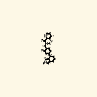 Cn1cc2cccc(-c3ccc(Cn4cnc5cccnc5c4=O)c(F)c3)c2c1